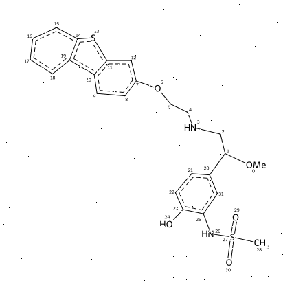 COC(CNCCOc1ccc2c(c1)sc1ccccc12)c1ccc(O)c(NS(C)(=O)=O)c1